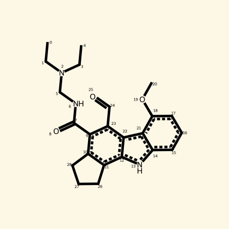 CCN(CC)CNC(=O)c1c2c(c3[nH]c4cccc(OC)c4c3c1C=O)CCC2